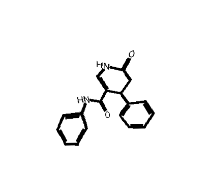 O=C1CC(c2ccccc2)C(C(=O)Nc2ccccc2)=CN1